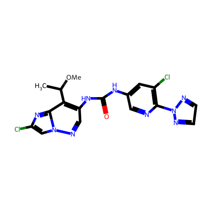 COC(C)c1c(NC(=O)Nc2cnc(-n3nccn3)c(Cl)c2)cnn2cc(Cl)nc12